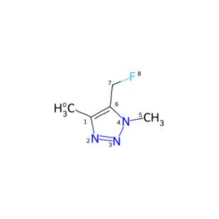 Cc1nnn(C)c1CF